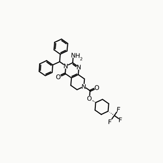 Nc1nc2c(c(=O)n1C(c1ccccc1)c1ccccc1)CCN(C(=O)O[C@H]1CC[C@@H](C(F)(F)F)CC1)C2